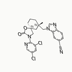 C[C@]1(Cn2cnc3ccc(C#N)cc32)CCC[C@@]2(CN(c3ncc(Cl)cc3Cl)C(=O)O2)C1